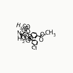 CCOC(=O)c1ccc(C(CC(N)=O)(NS(=O)(=O)c2cccc(Cl)c2)OS(C)(=O)=O)cc1